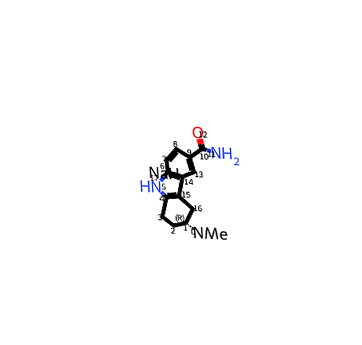 CN[C@@H]1CCc2[nH]c3ccc(C(N)=O)cc3c2C1.[NaH]